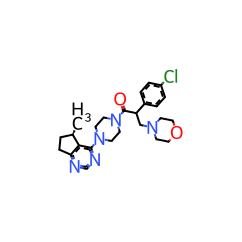 C[C@@H]1CCc2ncnc(N3CCN(C(=O)C(CN4CCOCC4)c4ccc(Cl)cc4)CC3)c21